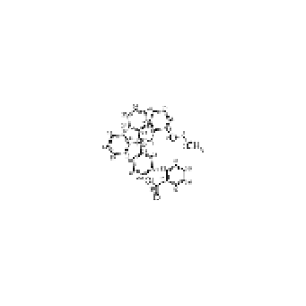 CCOc1ccccc1C[P+](c1ccccc1)(c1ccccc1)c1ccccc1.O=C([O-])c1ccccc1